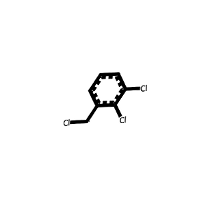 Cl[CH]c1cccc(Cl)c1Cl